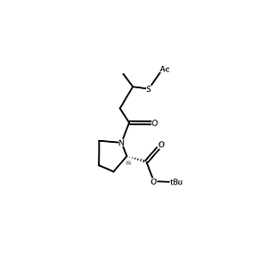 CC(=O)SC(C)CC(=O)N1CCC[C@H]1C(=O)OC(C)(C)C